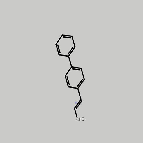 O=[C]/C=C/c1ccc(-c2ccccc2)cc1